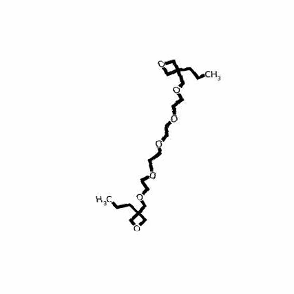 CCCC1(COCCOCCOCCOCCOCC2(CCC)COC2)COC1